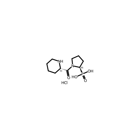 Cl.O=C([C@@H]1CCCCN1)N1CCC[C@H]1P(=O)(O)O